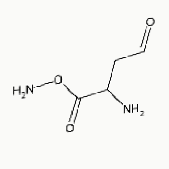 NOC(=O)C(N)CC=O